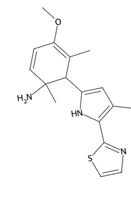 COC1=C(C)C(c2cc(Br)c(-c3nccs3)[nH]2)C(C)(N)C=C1